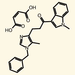 Cc1c(CCC(=O)c2cn(C)c3ccccc23)ncn1Cc1ccccc1.O=C(O)/C=C\C(=O)O